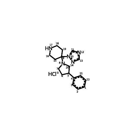 Cl.c1ccc(C2CCN(C3(n4cncn4)CCNCC3)C2)cc1